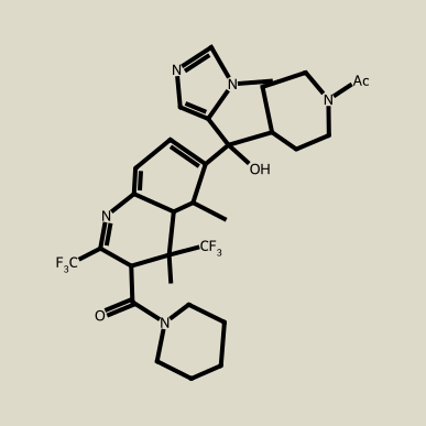 CC(=O)N1CCC(C(O)(C2=CC=C3N=C(C(F)(F)F)C(C(=O)N4CCCCC4)C(C)(C(F)(F)F)C3C2C)c2cncn2C)CC1